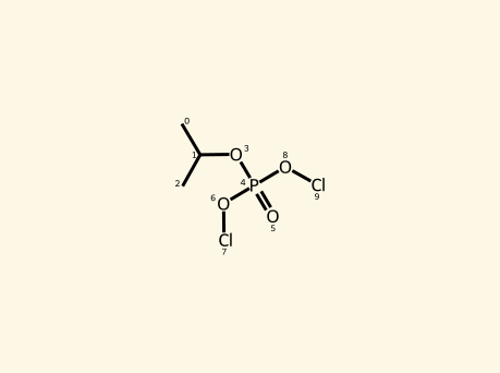 CC(C)OP(=O)(OCl)OCl